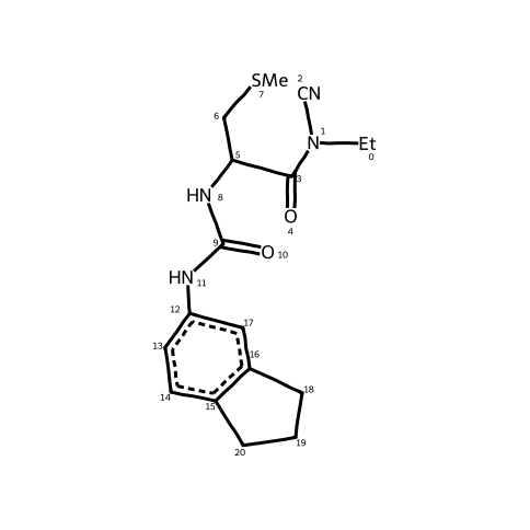 CCN(C#N)C(=O)C(CSC)NC(=O)Nc1ccc2c(c1)CCC2